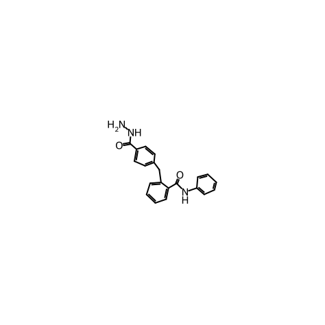 NNC(=O)c1ccc(Cc2ccccc2C(=O)Nc2ccccc2)cc1